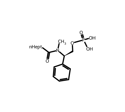 CCCCCCCC(=O)N(C)[C@@H](COP(=O)(O)O)c1ccccc1